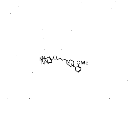 COc1ccccc1N1CCN(CCCCOc2ccn3nnnc3c2)CC1